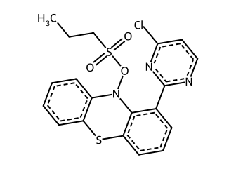 CCCS(=O)(=O)ON1c2ccccc2Sc2cccc(-c3nccc(Cl)n3)c21